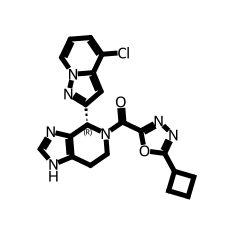 O=C(c1nnc(C2CCC2)o1)N1CCc2[nH]cnc2[C@@H]1c1cc2c(Cl)cccn2n1